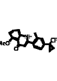 COc1cccc2[nH]c(-c3ccc(C4(C(F)(F)F)CC4)cc3C)cc(=O)c12